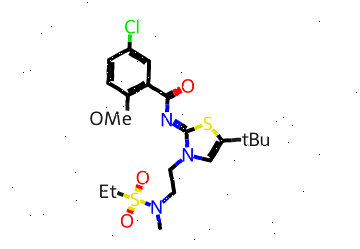 CCS(=O)(=O)N(C)CCn1cc(C(C)(C)C)sc1=NC(=O)c1cc(Cl)ccc1OC